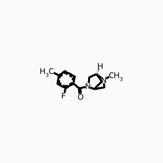 Cc1ccc(C(=O)N2C[C@@H]3CC2CN3C)c(F)c1